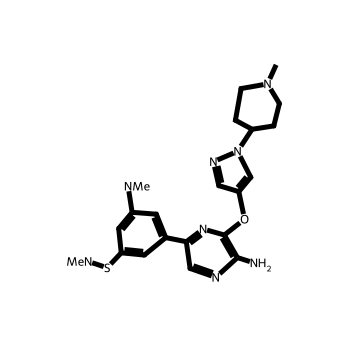 CNSc1cc(NC)cc(-c2cnc(N)c(Oc3cnn(C4CCN(C)CC4)c3)n2)c1